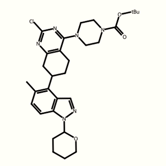 Cc1ccc2c(cnn2C2CCCCO2)c1C1CCc2c(nc(Cl)nc2N2CCN(C(=O)OC(C)(C)C)CC2)C1